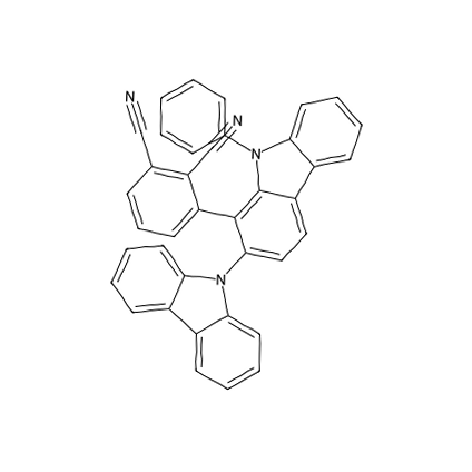 N#Cc1cccc(-c2c(-n3c4ccccc4c4ccccc43)ccc3c4ccccc4n(-c4ccccc4)c23)c1C#N